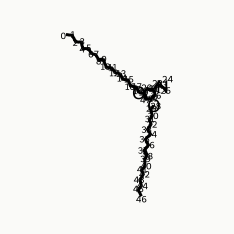 CCCCCCCCC=CCCCCCCCCOc1cc(CN(C)C)cc(OCCCCCCCCC=CCCCCCCCC)c1